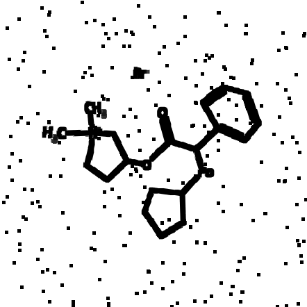 C[N+]1(C)CCC(OC(=O)[CH]([Po][CH]2CCCC2)c2ccccc2)C1.[Br-]